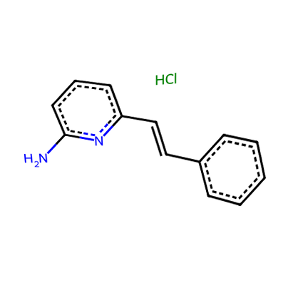 Cl.Nc1cccc(C=Cc2ccccc2)n1